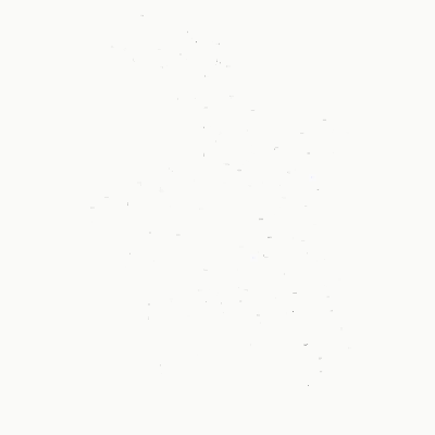 CCCCCCCCC1(CCCCCCCC)c2cc(-c3ccccc3)ccc2-c2ccc(-c3cc(/C=C/c4cccs4)c(-c4ccc5c(c4)C(CCCCCCCC)(CCCCCCCC)c4cc(-c6ccc(-c7ccccc7)c7nsnc67)ccc4-5)cc3/C=C/c3cccs3)cc21